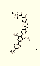 Cc1cc(C2CCC(C)CO2)cc(C)c1-c1ccc(C(F)(F)Oc2cc(F)c3c(F)c(C)c(F)cc3c2)cc1